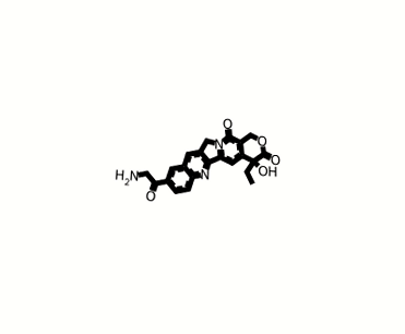 CCC1(O)C(=O)OCc2c1cc1n(c2=O)Cc2cc3cc(C(=O)CN)ccc3nc2-1